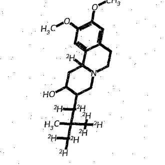 [2H]C12CC(O)C(C([2H])([2H])C(C)(C([2H])([2H])[2H])C([2H])([2H])[2H])CN1CCc1cc(OC)c(OC)cc12